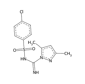 Cc1cc(C)n(C(=N)NS(=O)(=O)c2ccc(Cl)cc2)n1